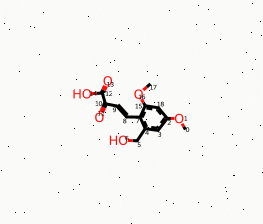 COc1cc(CO)c(/C=C/C(=O)C(=O)O)c(OC)c1